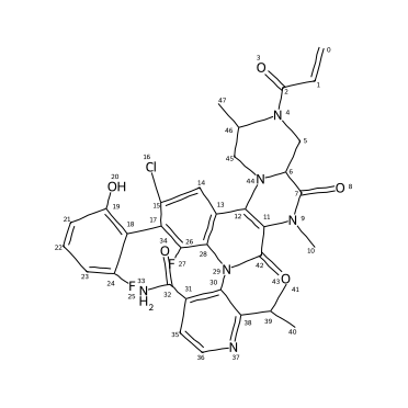 C=CC(=O)N1CC2C(=O)N(C)c3c(c4cc(Cl)c(-c5c(O)cccc5F)c(F)c4n(-c4c(C(N)=O)ccnc4C(C)C)c3=O)N2CC1C